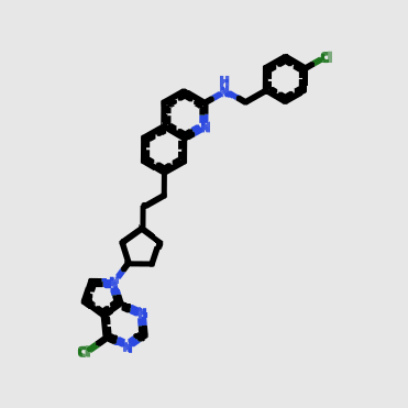 Clc1ccc(CNc2ccc3ccc(CCC4CCC(n5ccc6c(Cl)ncnc65)C4)cc3n2)cc1